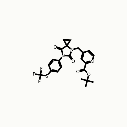 CC(C)(C)OC(=O)c1cc(CN2C(=O)N(c3ccc(SC(F)(F)F)cc3)C(=O)C23CC3)ccn1